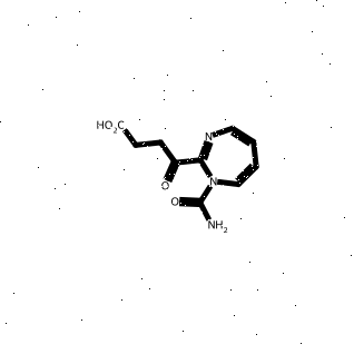 NC(=O)N1C=CC=CN=C1C(=O)CCC(=O)O